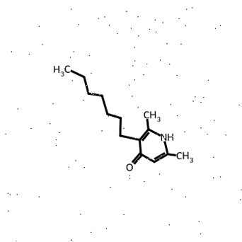 CCCCCCCc1c(C)[nH]c(C)cc1=O